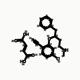 CNCCC(Cc1ccccc1)Oc1cc(Cl)ccc1C#N.O=C(O)/C=C/C(=O)O